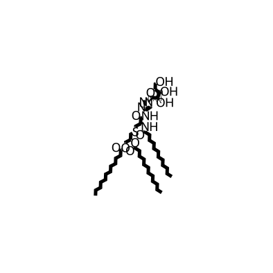 CCCCCCCCCCCC(=O)NC(CSCC(COC(=O)CCCCCCCCCCC)OC(=O)CCCCCCCCCCC)C(=O)Nc1cn([C@H]2OC(CO)[C@@H](O)[C@@H]2O)nn1